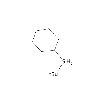 CCCC[SiH2]C1CCCCC1